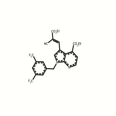 CCOC(=O)/C(C#N)=C/c1cn(Cc2cc(C(F)(F)F)cc(C(F)(F)F)c2)c2nccc(C(=O)OCC)c12